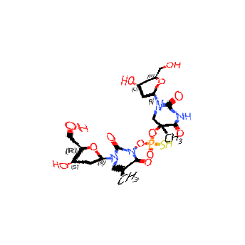 Cc1cn([C@H]2C[C@H](O)[C@@H](CO)O2)c(=O)n(OP(=O)(S)OC2(C)CN([C@H]3C[C@H](O)[C@@H](CO)O3)C(=O)NC2=O)c1=O